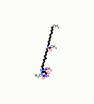 CCCCCCCCCCCCN(CCCCCCCCCCCc1nc2c(c(=O)[nH]c(=O)n2C)n1C)C(C)=O